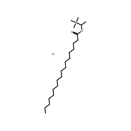 CCCCCCCCCCCCCCCCCC(=O)OC(C)[N+](C)(C)C.[Cl-]